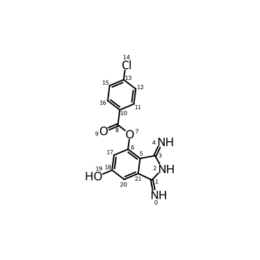 N=C1NC(=N)c2c(OC(=O)c3ccc(Cl)cc3)cc(O)cc21